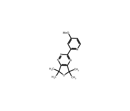 COc1ccnc(-c2nnc3c(n2)C(C)(C)OC3(C)C)c1